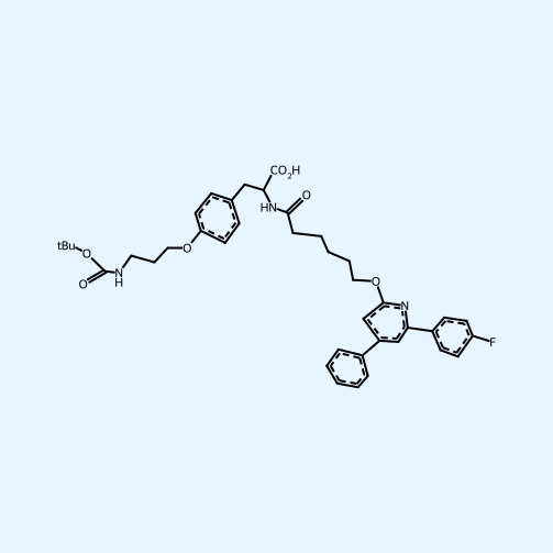 CC(C)(C)OC(=O)NCCCOc1ccc(CC(NC(=O)CCCCCOc2cc(-c3ccccc3)cc(-c3ccc(F)cc3)n2)C(=O)O)cc1